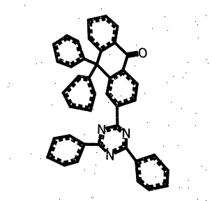 O=C1c2ccccc2C(c2ccccc2)(c2ccccc2)c2cc(-c3nc(-c4ccccc4)nc(-c4ccccc4)n3)ccc21